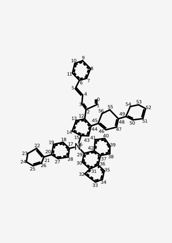 C=C/C(=C\C=C\c1ccccc1)c1ccc(N(c2ccc(C3=CCCC=C3)cc2)c2cc3ccccc3c3ccccc23)cc1C1=CC=C(C2=CC=CCC2)CC1